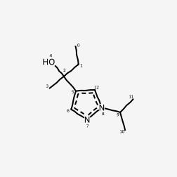 CCC(C)(O)c1cnn(C(C)C)c1